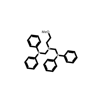 COCCN(CP(c1ccccc1)c1ccccc1)CP(c1ccccc1)c1ccccc1